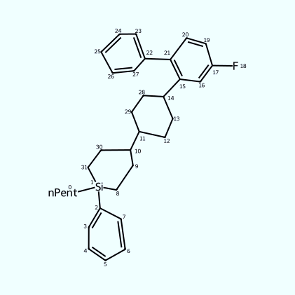 CCCCC[Si]1(c2ccccc2)CCC(C2CCC(c3cc(F)ccc3-c3ccccc3)CC2)CC1